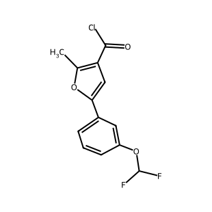 Cc1oc(-c2cccc(OC(F)F)c2)cc1C(=O)Cl